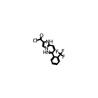 N=C(/C=C\c1ncc(C(=O)Cl)[nH]1)c1ccccc1C(F)(F)F